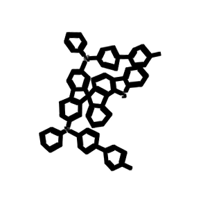 Cc1ccc(-c2ccc(N(c3ccccc3)c3ccc4c(c3)C3(c5cc(N(c6ccccc6)c6ccc(-c7ccc(C)cc7)cc6)ccc5-4)c4ccccc4-c4c3ccc3c4sc4ccccc43)cc2)cc1